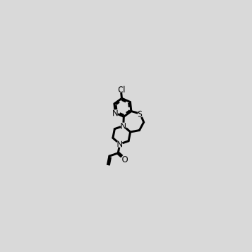 C=CC(=O)N1CCN2c3ncc(Cl)cc3SCCC2C1